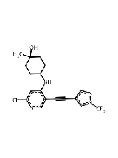 CC1(O)CCC(Nc2cc(Cl)ncc2C#Cc2cnn(C(F)(F)F)c2)CC1